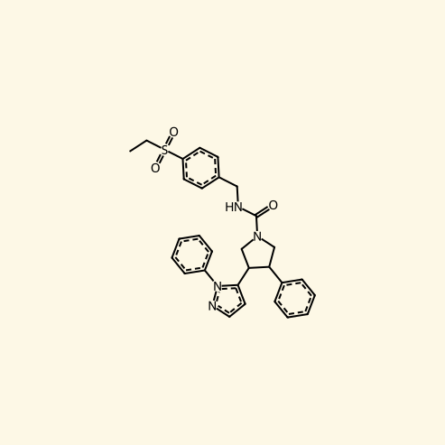 CCS(=O)(=O)c1ccc(CNC(=O)N2CC(c3ccccc3)C(c3ccnn3-c3ccccc3)C2)cc1